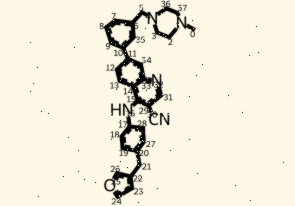 CN1CCN(Cc2cccc(-c3ccc4c(Nc5ccc(Cc6ccoc6)cc5)c(C#N)cnc4c3)c2)CC1